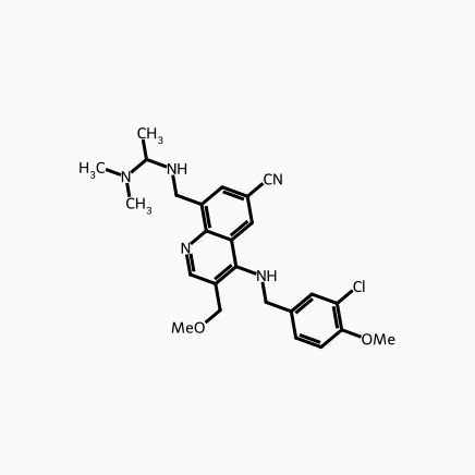 COCc1cnc2c(CNC(C)N(C)C)cc(C#N)cc2c1NCc1ccc(OC)c(Cl)c1